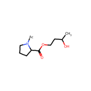 CC(=O)N1CCCC1C(=O)OCCC(C)O